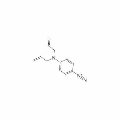 C=CCN(CC=C)c1ccc([N+]#N)cc1